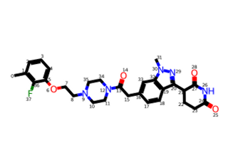 Cc1cccc(OCCN2CCN(C(=O)Cc3ccc4c(C5CCC(=O)NC5=O)nn(C)c4c3)CC2)c1F